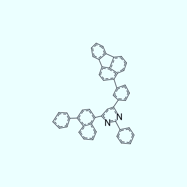 c1ccc(-c2nc(-c3cccc(-c4ccc5c6c(cccc46)-c4ccccc4-5)c3)cc(-c3ccc(-c4ccccc4)c4ccccc34)n2)cc1